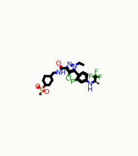 CCn1nc(C(=O)NCC2CCC(S(C)(=O)=O)CC2)c(Cl)c1-c1ccc(N[C@H](C)C(F)(F)F)cc1F